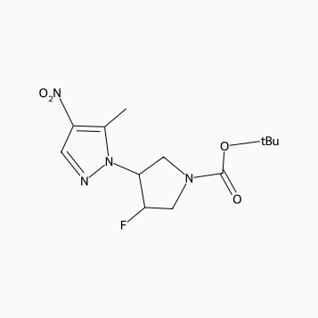 Cc1c([N+](=O)[O-])cnn1C1CN(C(=O)OC(C)(C)C)CC1F